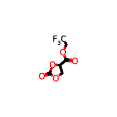 O=C1OCC(C(=O)OCC(F)(F)F)O1